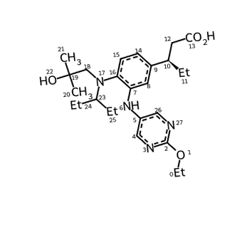 CCOc1ncc(Nc2cc([C@H](CC)CC(=O)O)ccc2N(CC(C)(C)O)C(CC)CC)cn1